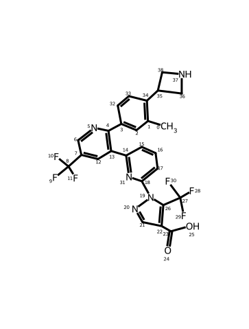 Cc1cc(-c2ncc(C(F)(F)F)cc2-c2cccc(-n3ncc(C(=O)O)c3C(F)(F)F)n2)ccc1C1CNC1